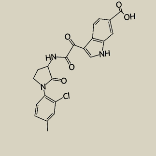 Cc1ccc(N2CCC(NC(=O)C(=O)c3c[nH]c4cc(C(=O)O)ccc34)C2=O)c(Cl)c1